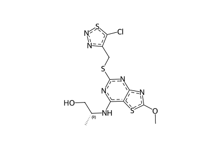 COc1nc2nc(SCc3nnsc3Cl)nc(N[C@H](C)CO)c2s1